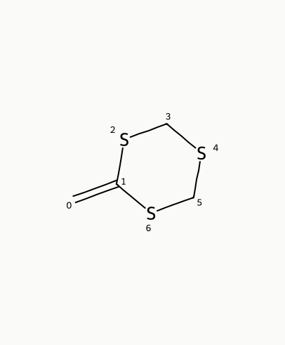 C=C1SCSCS1